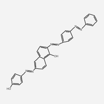 Oc1ccc(N=Nc2ccc3c(O)c(N=Nc4ccc(N=Nc5ccccc5)cc4)ccc3c2)cc1